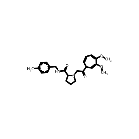 COC1=CC=CC(C(=O)CN2CCCC2C(=O)NCc2ccc(C)cc2)C=C1OC